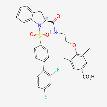 Cc1cc(C(=O)O)cc(C)c1OCCNC(=O)[C@@H]1Cc2ccccc2N1S(=O)(=O)c1ccc(-c2ccc(F)cc2F)cc1